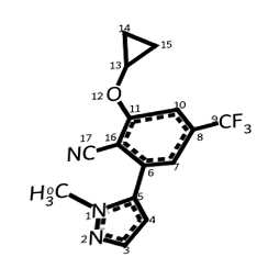 Cn1nccc1-c1cc(C(F)(F)F)cc(OC2CC2)c1C#N